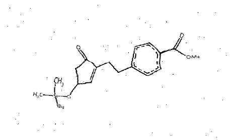 COC(=O)c1ccc(CCC2=CC(O[Si](C)(C)C(C)(C)C)CC2=O)cc1